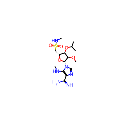 CNc1c(C(=N)N)ncn1[C@@H]1O[C@H](CS(=O)(=O)NC)[C@@H](OC(C)C)[C@H]1OC